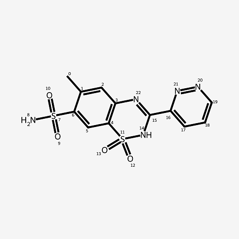 Cc1cc2c(cc1S(N)(=O)=O)S(=O)(=O)NC(c1cccnn1)=N2